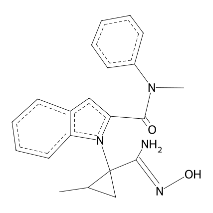 CC1CC1(/C(N)=N/O)n1c(C(=O)N(C)c2ccccc2)cc2ccccc21